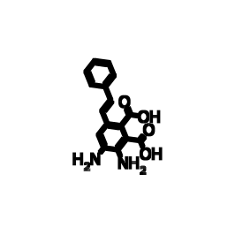 Nc1cc(C=Cc2ccccc2)c(C(=O)O)c(C(=O)O)c1N